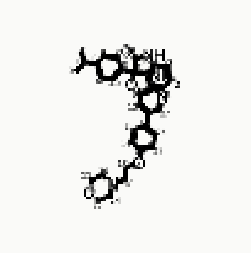 CC(C)c1ccc(C(Oc2cc(-c3ccc(OCCN4CCOCC4)cc3)cnc2N)(C(N)=O)c2ccccc2)cc1